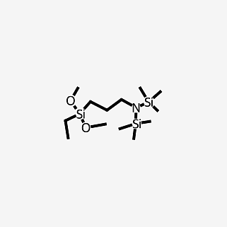 CC[Si](CCCN([Si](C)(C)C)[Si](C)(C)C)(OC)OC